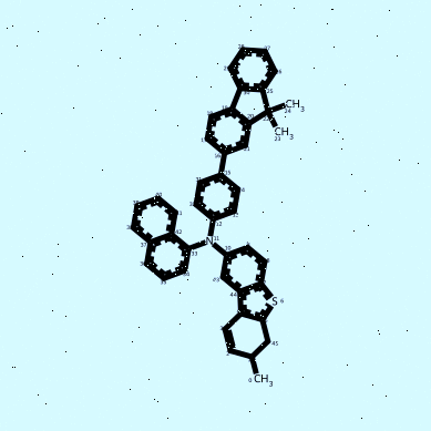 CC1C=Cc2c(sc3ccc(N(c4ccc(-c5ccc6c(c5)C(C)(C)c5ccccc5-6)cc4)c4cccc5ccccc45)cc23)C1